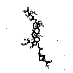 CC(=O)N1CC(CNCC[C@@]23CC[C@]4(C)[C@H](CC[C@@H]5[C@@]6(C)CC[C@H](OC(=O)CC(C)(C)C(=O)O)C(C)(C)[C@@H]6CC[C@]54C)C2=C(C(C)C)C(=O)C3)C1